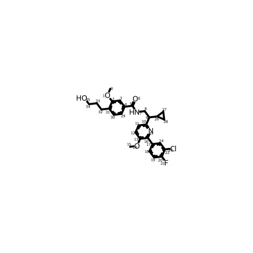 COc1cc(C(=O)NCC(c2ccc(OC)c(-c3ccc(F)c(Cl)c3)n2)C2CC2)ccc1CCCO